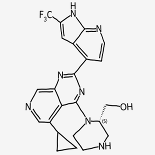 OC[C@@H]1CNCCN1c1nc(-c2ccnc3[nH]c(C(F)(F)F)cc23)nc2cncc(C3CC3)c12